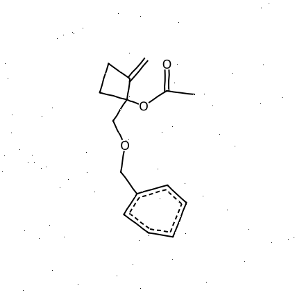 C=C1CCC1(COCc1ccccc1)OC(C)=O